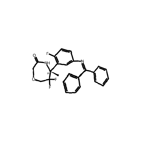 C[C@]1(c2cc(N=C(c3ccccc3)c3ccccc3)ccc2F)NC(=O)COCC1(F)F